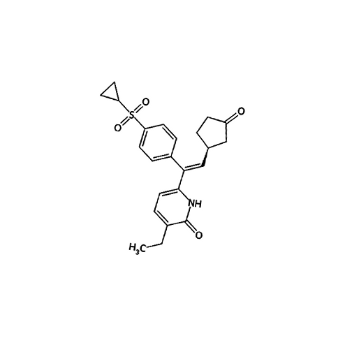 CCc1ccc(/C(=C/[C@H]2CCC(=O)C2)c2ccc(S(=O)(=O)C3CC3)cc2)[nH]c1=O